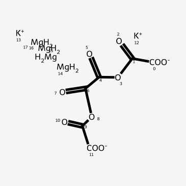 O=C([O-])C(=O)OC(=O)C(=O)OC(=O)C(=O)[O-].[K+].[K+].[MgH2].[MgH2].[MgH2].[MgH2]